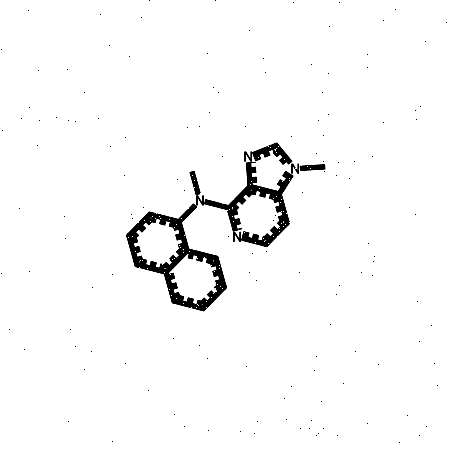 CN(c1cccc2ccccc12)c1nccc2c1ncn2C